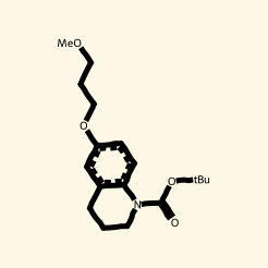 COCCCOc1ccc2c(c1)CCCN2C(=O)OC(C)(C)C